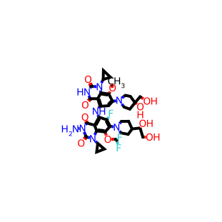 COc1c(N2CCC(O)(CO)CC2)cc(Nc2c(F)c(N3CCC(C(O)CO)CC3)c(OC(F)F)c3c2c(=O)n(N)c(=O)n3C2CC2)c2c(=O)[nH]c(=O)n(C3CC3)c12